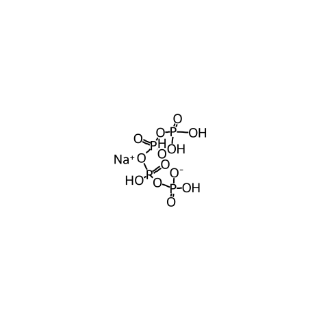 O=P([O-])(O)OP(=O)(O)OP(=O)(O)OP(=O)(O)O.[Na+]